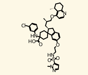 C[C@@H](COc1ccnc2c1[C@H](C)CCC2)C[C@H]1Cc2ccc(OCCNS(=O)(=O)c3ccnn3C)cc2C12CCC(Nc1cccc(Cl)c1)(C(=O)O)CC2